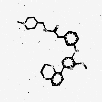 COc1nc(-c2cccc3c2OCCO3)ccc1Nc1cccc(CC(=O)NCC2CCN(C)CC2)c1